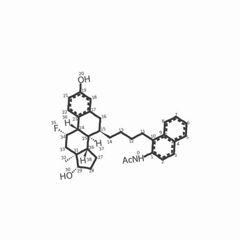 CC(=O)Nc1ccc2ccccc2c1CCCC[C@@H]1Cc2cc(O)ccc2[C@@H]2[C@@H]1[C@@H]1CC[C@H](O)[C@@]1(C)C[C@@H]2F